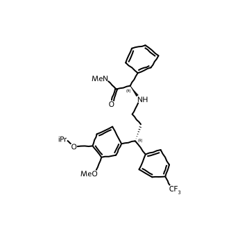 CNC(=O)[C@H](NCC[C@H](c1ccc(C(F)(F)F)cc1)c1ccc(OC(C)C)c(OC)c1)c1ccccc1